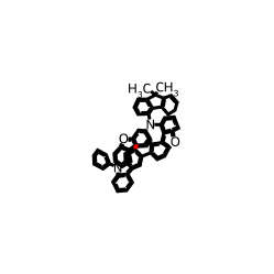 CC1(C)C2=C(CCC=C2)c2c(N(c3c#cc4c(c3)oc3ccccc34)c3cccc4oc5ccc(-c6ccc7c(c6)c6ccccc6n7-c6ccccc6)cc5c34)cccc21